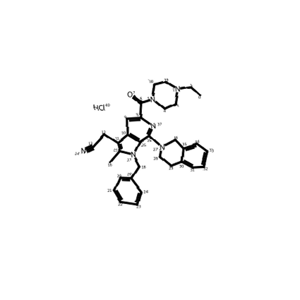 CCN1CCN(C(=O)c2cc3c(CC#N)c(C)n(Cc4ccccc4)c3c(N3CCc4ccccc4C3)n2)CC1.Cl